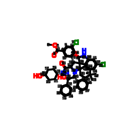 COC(=O)c1cc(Cl)cc([C@H]2[C@H](C(=O)N[C@H]3CC[C@H](O)CC3)N([C@H](c3ccccc3)[C@@H](O)c3ccccc3)C3(CCC(C)(C)CC3)C23C(=O)Nc2cc(Cl)ccc23)c1